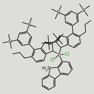 CCCc1ccc2c(c1-c1cc([Si](C)(C)C)cc([Si](C)(C)C)c1)C=C(C(C)(C)C)[CH]2[Zr]([Cl])([Cl])([c]1cccc2c1[SiH2]c1ccccc1-2)[CH]1C(C(C)(C)C)=Cc2c1ccc(CCC)c2-c1cc([Si](C)(C)C)cc([Si](C)(C)C)c1